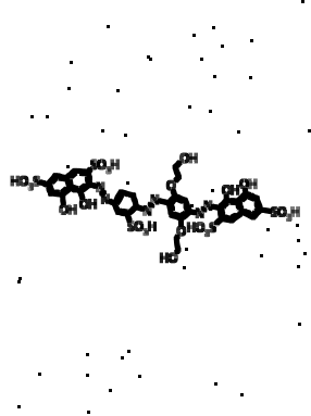 O=S(=O)(O)C1=CC(/N=N/c2c(S(=O)(=O)O)cc3cc(S(=O)(=O)O)cc(O)c3c2O)=CCC1/N=N/c1cc(OCCO)c(/N=N/c2c(S(=O)(=O)O)cc3cc(S(=O)(=O)O)cc(O)c3c2O)cc1OCCO